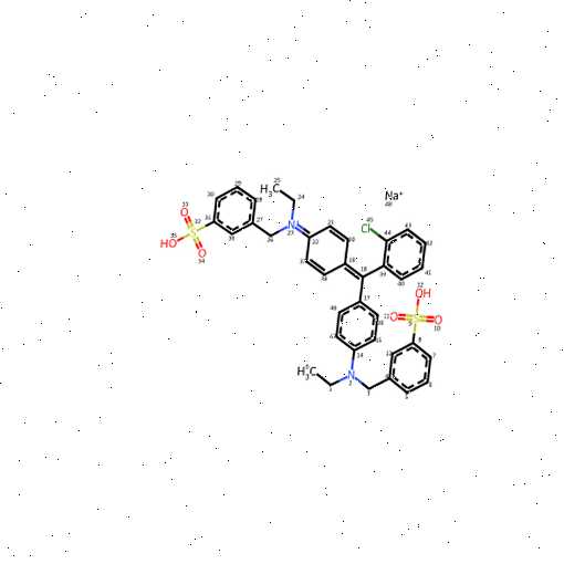 CCN(Cc1cccc(S(=O)(=O)O)c1)c1ccc(C(=C2C=CC(=[N+](CC)Cc3cccc(S(=O)(=O)O)c3)C=C2)c2ccccc2Cl)cc1.[Na+]